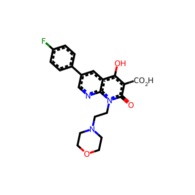 O=C(O)c1c(O)c2cc(-c3ccc(F)cc3)cnc2n(CCN2CCOCC2)c1=O